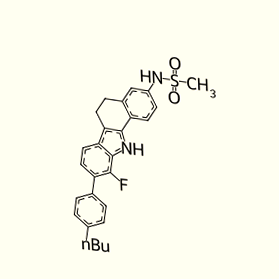 CCCCc1ccc(-c2ccc3c4c([nH]c3c2F)-c2ccc(NS(C)(=O)=O)cc2CC4)cc1